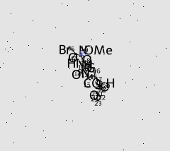 CO/N=C(/C(=O)CBr)C(=O)NC1C(=O)N2C(C(=O)O)=C(CSC(=O)c3ccco3)CS[C@@H]12